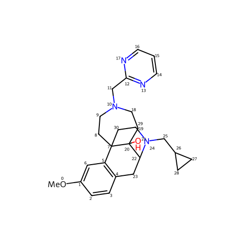 COc1ccc2c(c1)C13CCN(Cc4ncccn4)CCC1(O)C(C2)N(CC1CC1)CC3